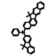 CC1(C)c2ccccc2-c2ccc(N(c3ccccc3)c3ccc4c5c(ccc4c3)-c3cc4ccccc4cc3C5(C)C)cc21